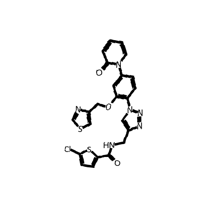 O=C(NCc1cn(-c2ccc(-n3ccccc3=O)cc2OCc2cscn2)nn1)c1ccc(Cl)s1